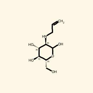 C=CCN[C@H]1C(O)O[C@H](CO)[C@@H](O)[C@@H]1O